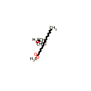 CCCCCCCCCCCCCCCCCCC(=O)OC.COC(C)(C)C